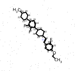 CCOc1ccc(/C=C/C2CCC(c3ccc(C4CCC(C)CC4)c(F)c3F)CC2)c(F)c1